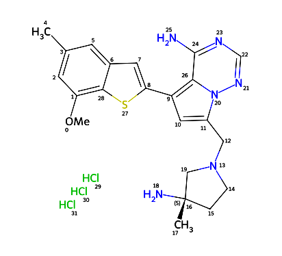 COc1cc(C)cc2cc(-c3cc(CN4CC[C@](C)(N)C4)n4ncnc(N)c34)sc12.Cl.Cl.Cl